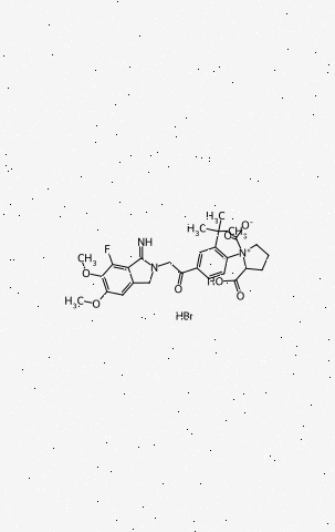 Br.COc1cc2c(c(F)c1OC)C(=N)N(CC(=O)c1ccc([N+]3(C(=O)[O-])CCCC3C(=O)O)c(C(C)(C)C)c1)C2